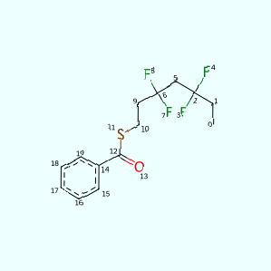 CCC(F)(F)CC(F)(F)CCSC(=O)c1ccccc1